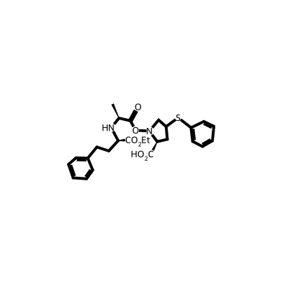 CCOC(=O)[C@@H](CCc1ccccc1)N[C@@H](C)C(=O)ON1CC(Sc2ccccc2)C[C@H]1C(=O)O